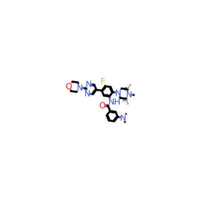 C[C@@H]1CN(c2cc(F)c(-c3cnc(N4CCOCC4)nc3)cc2NC(=O)c2cccc(N(C)C)c2)C[C@H](C)N1C